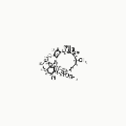 CO[C@H]1/C=C/C[C@H](C)CS(=O)(=O)NC(=O)c2ccc3c(c2)N(C[C@@H]2CC[C@H]21)C[C@@]1(CCCc2cc(Cl)ccc21)CO3